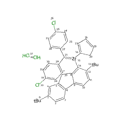 CC(C)(C)c1ccc2c(c1)Cc1c-2ccc(C(C)(C)C)[c]1[Zr]([C]1=CC=CC1)=[C](c1ccc(Cl)cc1)c1ccc(Cl)cc1.Cl.Cl